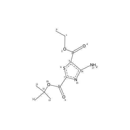 CCOC(=O)c1sc(C(=O)OC(C)(C)C)nc1N